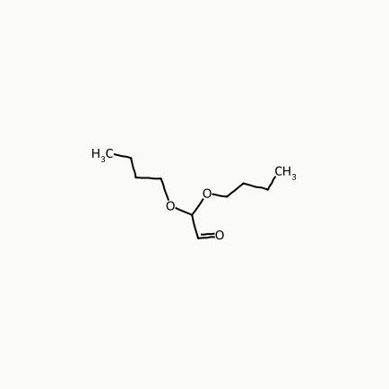 CCCCOC(C=O)OCCCC